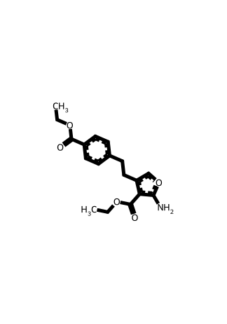 CCOC(=O)c1ccc(CCc2coc(N)c2C(=O)OCC)cc1